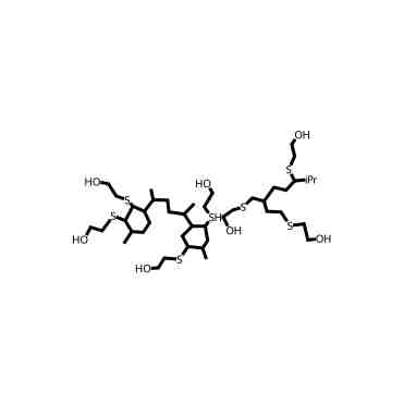 CC(C)C(CCC(CCSCCO)CSCC(O)[SH](CCO)C1CC(C)C(SCCO)CC1C(C)CCC(C)C1CCC(C)C(SCCO)C1SCCO)SCCO